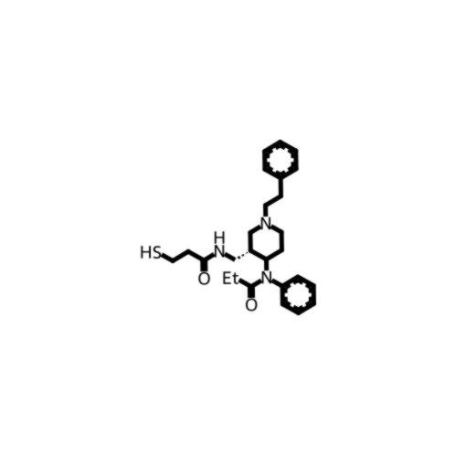 CCC(=O)N(c1ccccc1)C1CCN(CCc2ccccc2)C[C@H]1CNC(=O)CCS